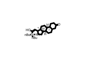 CCC[CH2][Sn]([CH2]CCC)([CH2]CCC)[C](O)=CC1CC[C@H]2[C@@H]3CCC4CC(=O)CC[C@]4(C)[C@@H]3CC[C@]12C